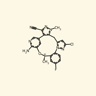 C[C@H]1Oc2cc(cnc2N)-c2c(C#N)nn(C)c2Cc2cc(Cl)nn2-c2ccc(F)cc21